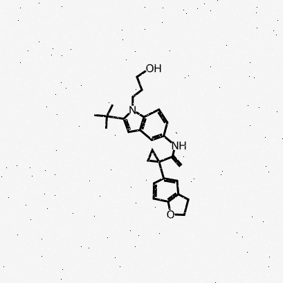 C=C(Nc1ccc2c(c1)cc(C(C)(C)C)n2CCCO)C1(c2ccc3c(c2)CCO3)CC1